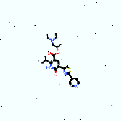 CCN(CC)CC(C)OC(=O)c1cc(-c2csc(-c3ccncc3)n2)c(=O)[nH]c1C(C)C